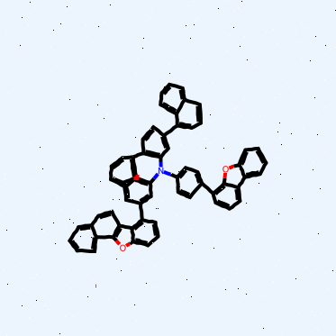 c1ccc(-c2ccc(-c3cccc4ccccc34)cc2N(c2ccc(-c3cccc4c3oc3ccccc34)cc2)c2cccc(-c3cccc4oc5c6ccccc6ccc5c34)c2)cc1